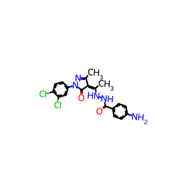 CC1=NN(c2ccc(Cl)c(Cl)c2)C(=O)/C1=C(/C)NNC(=O)c1ccc(N)cc1